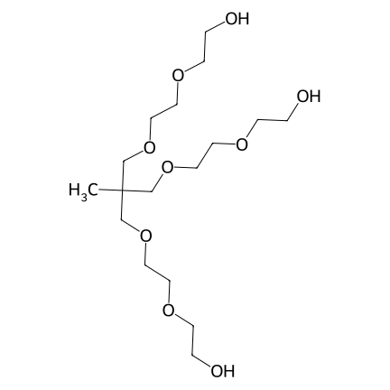 CC(COCCOCCO)(COCCOCCO)COCCOCCO